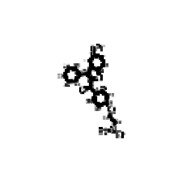 CCCc1ccc2oc(C(=O)c3ccc(OCCN(CC)CC)cc3)c(-c3ccccc3)c2c1